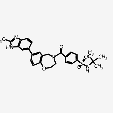 Cc1nc2ccc(-c3ccc4c(c3)CN(C(=O)c3ccc(S(=O)(=O)NC(C)(C)C)cc3)CCO4)cc2[nH]1